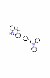 CC1(C)c2ccccc2Nc2ccc(-c3ccc(/C=C/N(c4ccccc4)c4ccccc4)cc3)cc21